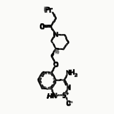 CC(C)CC(=O)N1CCC[C@@H](COc2cccc3c2C(N)=N[S+]([O-])N3)C1